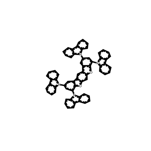 c1ccc2c(c1)c1ccccc1n2-c1cc(-n2c3ccccc3c3ccccc32)c2oc3cc4oc5c(-n6c7ccccc7c7ccccc76)cc(-n6c7ccccc7c7ccccc76)cc5c4cc3c2c1